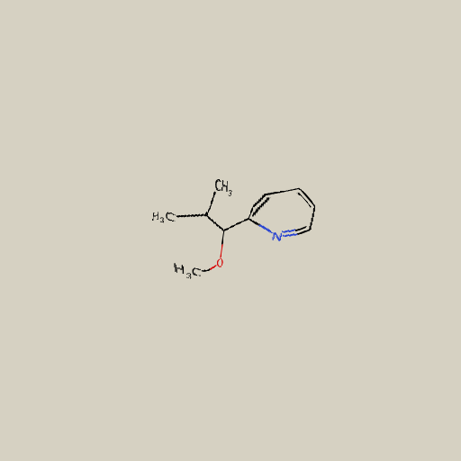 COC(c1ccccn1)C(C)C